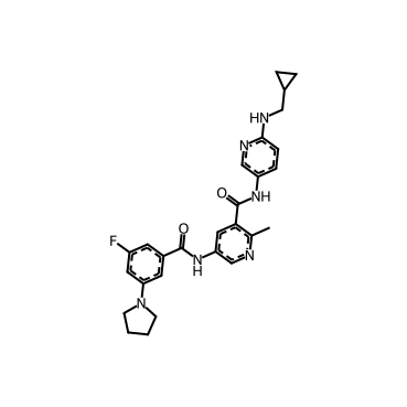 Cc1ncc(NC(=O)c2cc(F)cc(N3CCCC3)c2)cc1C(=O)Nc1ccc(NCC2CC2)nc1